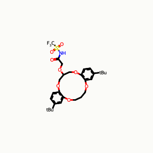 CC(C)(C)c1ccc2c(c1)OCCCOc1cc(C(C)(C)C)ccc1OCC(OCC(=O)NS(=O)(=O)C(F)(F)F)CO2